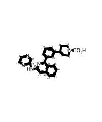 O=C(O)N1CC=C(c2cccc(-c3nc(Nc4cnccn4)cc4ccccc34)c2)CC1